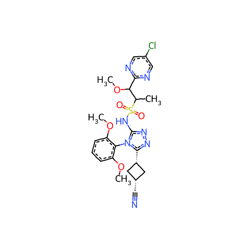 COc1cccc(OC)c1-n1c(NS(=O)(=O)C(C)C(OC)c2ncc(Cl)cn2)nnc1[C@H]1C[C@@H](C#N)C1